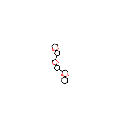 C1CCC2(CC1)OCCC(C1CCC3(C1)OCC(C1CCC4(C1)OCCCO4)O3)O2